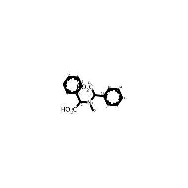 CN(C(C(=O)O)c1ccccc1)C(C(=O)O)c1ccccc1